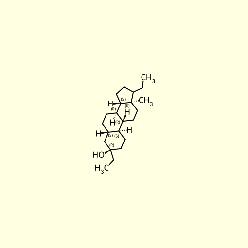 CCC1CC[C@H]2[C@@H]3CC[C@H]4C[C@@](O)(CC)CC[C@@H]4[C@H]3CC[C@]12C